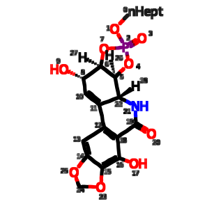 CCCCCCCOP1(=O)O[C@@H]2[C@H](O1)[C@@H](O)C=C1c3cc4c(c(O)c3C(=O)N[C@H]12)OCO4